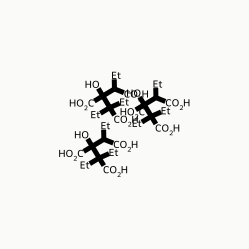 CCC(C(=O)O)C(O)(C(=O)O)C(CC)(CC)C(=O)O.CCC(C(=O)O)C(O)(C(=O)O)C(CC)(CC)C(=O)O.CCC(C(=O)O)C(O)(C(=O)O)C(CC)(CC)C(=O)O